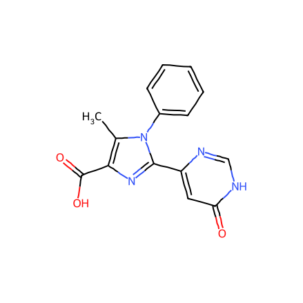 Cc1c(C(=O)O)nc(-c2cc(=O)[nH]cn2)n1-c1ccccc1